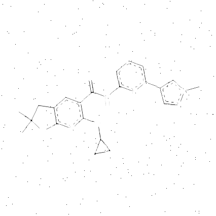 Cn1cc(-c2cccc(NC(=O)c3cc4c(nc3OC3CC3)OC(C)(C)C4)n2)cn1